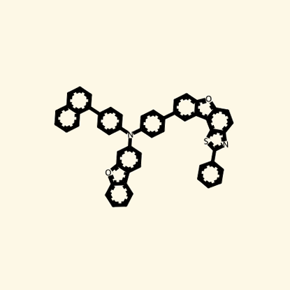 c1ccc(-c2nc3ccc4oc5ccc(-c6ccc(N(c7ccc(-c8cccc9ccccc89)cc7)c7ccc8c(c7)oc7ccccc78)cc6)cc5c4c3s2)cc1